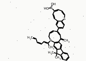 C=C/C=C\C=C(/C)N1C/C=C\C(c2ccc3scccc(B(O)O)ccc3c2)=C/C(=C)c2cc3c(cc21)C(C)(C)c1ccccc1-3